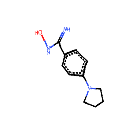 N=C(NO)c1ccc(N2CCCC2)cc1